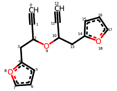 C#CC(Cc1ccco1)OC(C#C)Cc1ccco1